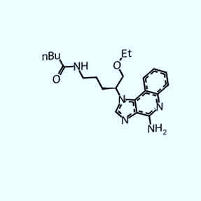 CCCCC(=O)NCCC[C@@H](COCC)n1cnc2c(N)nc3ccccc3c21